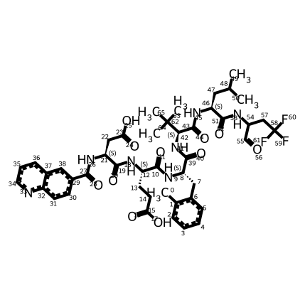 Cc1ccccc1C[C@H](NC(=O)[C@H](CCC(=O)O)NC(=O)[C@H](CC(=O)O)NC(=O)c1ccc2ncccc2c1)C(=O)N[C@H](C(=O)N[C@@H](CC(C)C)C(=O)NC(C=O)CC(F)(F)F)C(C)(C)C